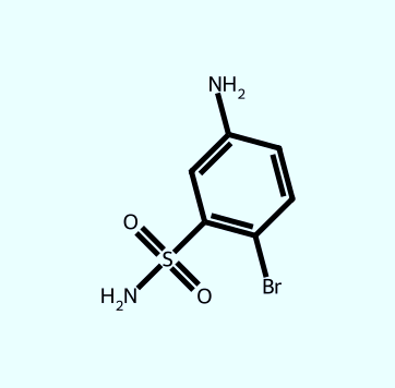 Nc1ccc(Br)c(S(N)(=O)=O)c1